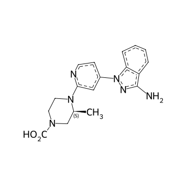 C[C@H]1CN(C(=O)O)CCN1c1cc(-n2nc(N)c3ccccc32)ccn1